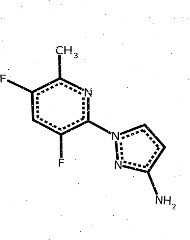 Cc1nc(-n2ccc(N)n2)c(F)cc1F